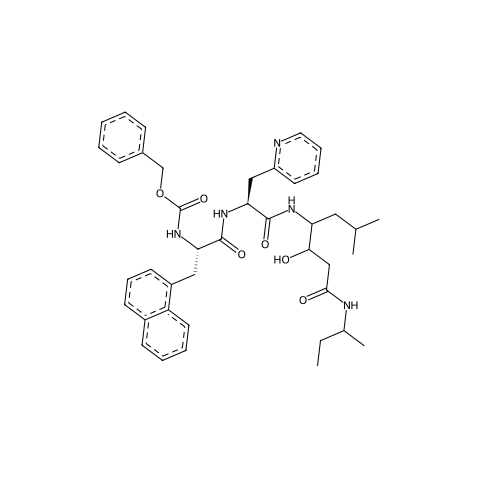 CCC(C)NC(=O)CC(O)C(CC(C)C)NC(=O)[C@H](Cc1ccccn1)NC(=O)[C@H](Cc1cccc2ccccc12)NC(=O)OCc1ccccc1